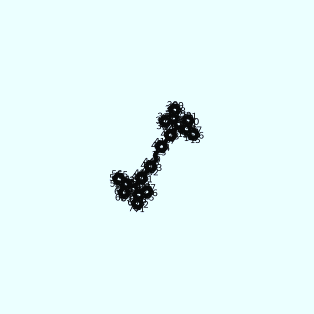 C(=C\c1ccc(-c2ccc(N(c3cc4ccccc4c4ccccc34)c3cc4ccccc4c4ccccc34)cc2)cc1)/c1ccc(-c2ccc(N(c3cc4ccccc4c4ccccc34)c3cc4ccccc4c4ccccc34)cc2)cc1